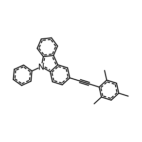 Cc1cc(C)c(C#Cc2ccc3c(c2)c2ccccc2n3-c2ccccc2)c(C)c1